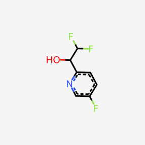 OC(c1ccc(F)cn1)C(F)F